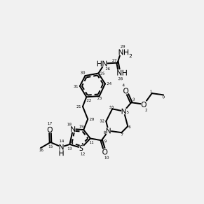 CCOC(=O)N1CCN(C(=O)c2sc(NC(C)=O)nc2CCc2ccc(NC(=N)N)cc2)CC1